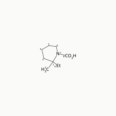 CCC1(C)CCCCN1C(=O)O